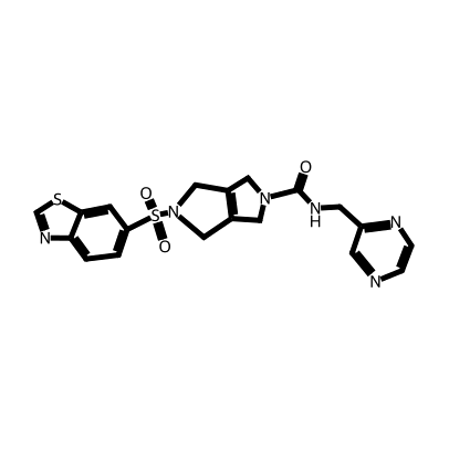 O=C(NCc1cnccn1)N1CC2=C(C1)CN(S(=O)(=O)c1ccc3ncsc3c1)C2